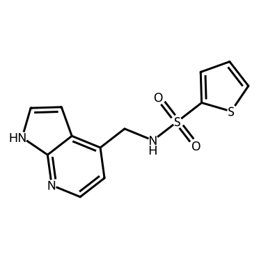 O=S(=O)(NCc1ccnc2[nH]ccc12)c1cccs1